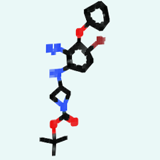 CC(C)(C)OC(=O)N1CC(Nc2ccc(Br)c(Oc3ccccc3)c2N)C1